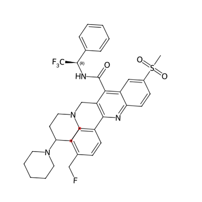 CS(=O)(=O)c1ccc2nc(-c3ccc(CF)cc3)c(CN3CCC(N4CCCCC4)CC3)c(C(=O)N[C@H](c3ccccc3)C(F)(F)F)c2c1